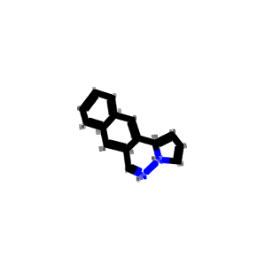 c1ccc2cc3c(cnn4cccc34)cc2c1